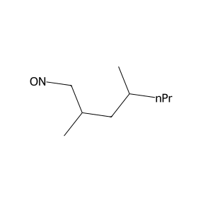 CCCC(C)CC(C)CN=O